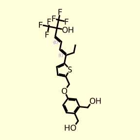 CC/C(=C\C=C\C(O)(C(F)(F)F)C(F)(F)F)c1ccc(COc2ccc(CO)c(CO)c2)s1